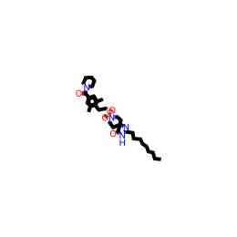 CCCCCCCCCC1=NC2(CCN(S(=O)(=O)CCc3c(C)cc(C(=O)N4CCCCC4)cc3C)CC2)C(=O)N1